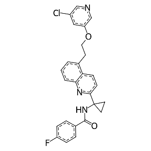 O=C(NC1(c2ccc3c(CCOc4cncc(Cl)c4)cccc3n2)CC1)c1ccc(F)cc1